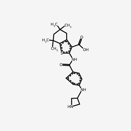 CC1(C)Cc2c(sc(NC(=O)c3ccc(NC4CNC4)cc3)c2C(=O)O)C(C)(C)C1